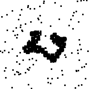 O=C(O)c1cccc(COc2c(-c3ccc(OCCOCCn4cc(COCCOc5ccc6c(=O)cc(-c7ccccc7)oc6c5)nn4)cc3)oc3ccccc3c2=O)c1